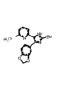 Cc1cccc(-c2[nH]c(C(C)(C)C)nc2-c2ccc3c(c2)OCO3)n1.O